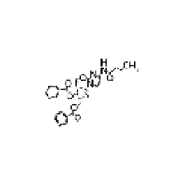 CCCC(=O)Nc1ccn([C@@H]2S[C@H](COC(=O)c3ccccc3)[C@@H](OC(=O)c3ccccc3)[C@@H]2F)c(=O)n1